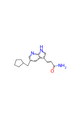 NC(=O)/C=C/c1c[nH]c2ncc(CC3CCCC3)cc12